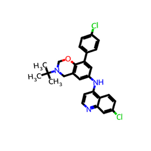 CC(C)(C)N1COc2c(cc(Nc3ccnc4cc(Cl)ccc34)cc2-c2ccc(Cl)cc2)C1